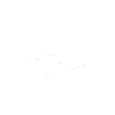 C[C@@H](N)CC(=N)C1CC1